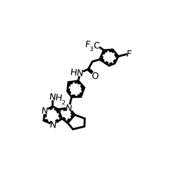 Nc1ncnc2c3c(n(-c4ccc(NC(=O)Cc5ccc(F)cc5C(F)(F)F)cc4)c12)CCC3